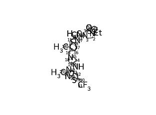 CCN1CCN([C@@H](C)Cn2c(C#N)cc3c(C)c(CN4CCC(Nc5nc(C)nc6sc(CC(F)(F)F)cc56)CC4)ccc32)CS1(=O)=O